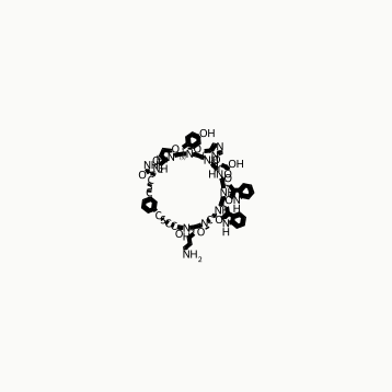 CN1CC(=O)N[C@@H](Cc2c[nH]c3ccccc23)C(=O)N[C@@H](Cc2c[nH]c3ccccc23)C(=O)N[C@@H](CC(=O)O)C(=O)N[C@@H](Cc2cnc[nH]2)C(=O)N(C)[C@@H](Cc2ccc(O)cc2)C(=O)N2CCC[C@H]2C(=O)N[C@H](C(N)=O)CSCc2cccc(c2)CSCCC(=O)N[C@@H](CCCCN)C1=O